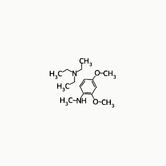 CCN(CC)CC.CNc1ccc(OC)cc1OC